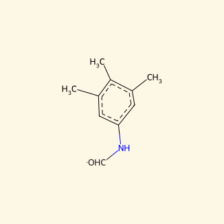 Cc1cc(N[C]=O)cc(C)c1C